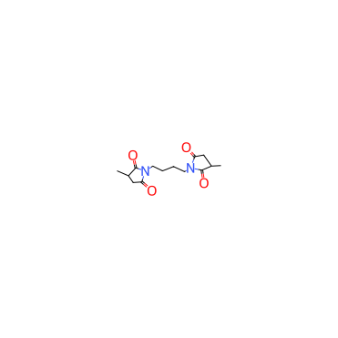 CC1CC(=O)N(CCCCN2C(=O)CC(C)C2=O)C1=O